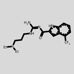 CCN(CC)CCCNC(N)=NC(=O)c1cc2c(C(F)(F)F)cccc2[nH]1